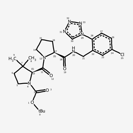 CC(C)(C)OC(=O)N1CCC(C)(C)[C@H]1C(=O)N1CCC[C@H]1C(=O)NCc1cc(Cl)ccc1-n1cnnn1